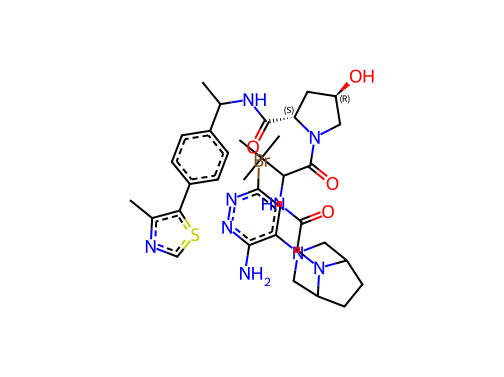 Cc1ncsc1-c1ccc(C(C)NC(=O)[C@@H]2C[C@@H](O)CN2C(=O)C(NC(=O)CN2C3CCC2CN(c2cc(Br)nnc2N)C3)C(C)(C)C)cc1